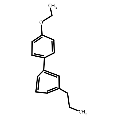 CCCc1cc[c]c(-c2ccc(OCC)cc2)c1